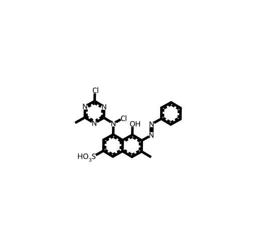 Cc1nc(Cl)nc(N(Cl)c2cc(S(=O)(=O)O)cc3cc(C)c(N=Nc4ccccc4)c(O)c23)n1